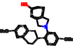 COc1ccc2c(c1)CCC(c1ccc(OC)cc1N1Cc3ccc(O)cc3C1)C2